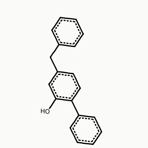 Oc1cc(Cc2ccccc2)ccc1-c1ccccc1